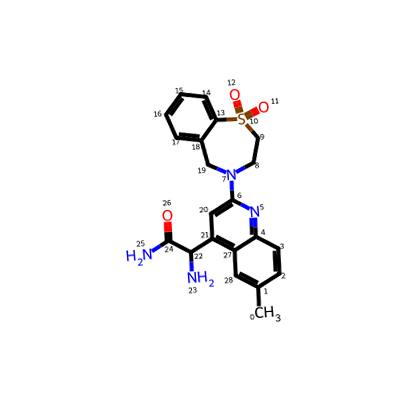 Cc1ccc2nc(N3CCS(=O)(=O)c4ccccc4C3)cc(C(N)C(N)=O)c2c1